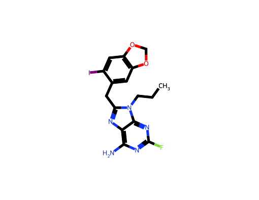 CCCn1c(Cc2cc3c(cc2I)OCO3)nc2c(N)nc(F)nc21